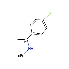 C[CH]CN[C@@H](C)c1ccc(F)cc1